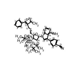 Cc1nsc(-c2ccccc2)c1CSC[C@H]1O[C@@H](n2cc(-c3ccc(C#N)cc3)c3c(N)ncnc32)[C@H](O[Si](C)(C)C(C)(C)C)[C@@H]1O[Si](C)(C)C(C)(C)C